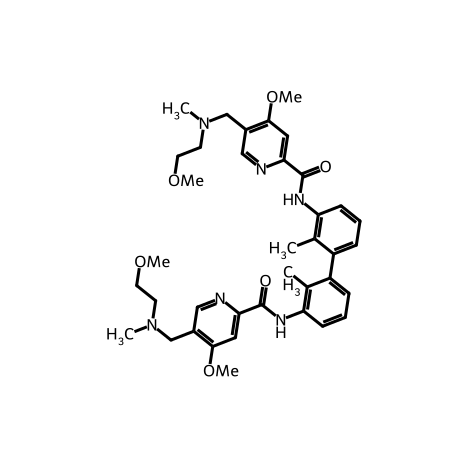 COCCN(C)Cc1cnc(C(=O)Nc2cccc(-c3cccc(NC(=O)c4cc(OC)c(CN(C)CCOC)cn4)c3C)c2C)cc1OC